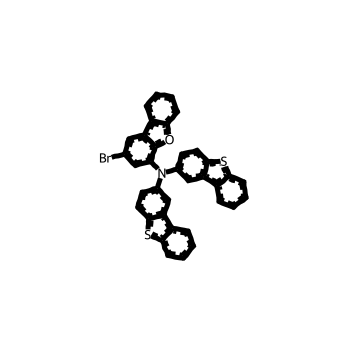 Brc1cc(N(c2ccc3sc4ccccc4c3c2)c2ccc3sc4ccccc4c3c2)c2oc3ccccc3c2c1